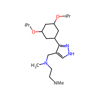 CNCCN(C)Cc1c[nH]nc1C1CC(OC(C)C)CC(OC(C)C)C1